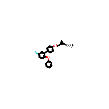 O=C(O)C1CC1COc1ccc(-c2cc(F)ccc2Oc2ccccc2)cc1